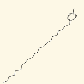 [CH2]c1ccc(CCCCCCCCCCCCCCCCCCCCCC)cc1